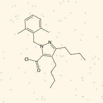 CCCCc1nn(Cc2c(C)cccc2C)c(C(=O)Cl)c1CCCC